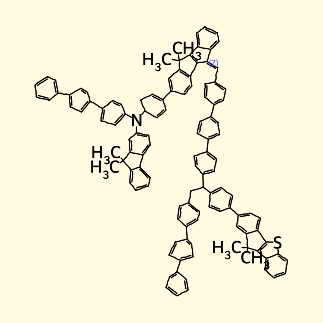 CC1(C)C2=C(/C(=C\c3ccc(-c4ccc(-c5ccc(C(Cc6ccc(-c7ccc(-c8ccccc8)cc7)cc6)c6ccc(-c7ccc8c(c7)C(C)(C)c7c-8sc8ccccc78)cc6)cc5)cc4)cc3)c3ccccc32)c2ccc(C3=CCC(N(c4ccc(-c5ccc(-c6ccccc6)cc5)cc4)c4ccc5c(c4)C(C)(C)c4ccccc4-5)C=C3)cc21